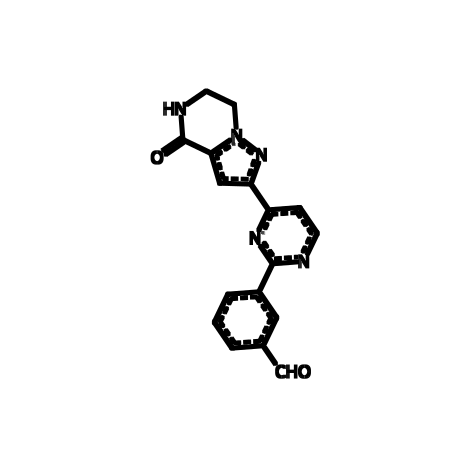 O=Cc1cccc(-c2nccc(-c3cc4n(n3)CCNC4=O)n2)c1